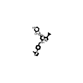 Cc1nccn1-c1ccc(CNc2cc(NC[C@H]3CCNC[C@@H]3O)nc3c(C4CC4)cnn23)cc1